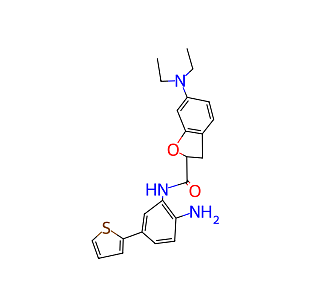 CCN(CC)c1ccc2c(c1)OC(C(=O)Nc1cc(-c3cccs3)ccc1N)C2